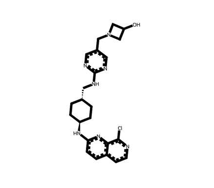 OC1CN(Cc2cnc(NC[C@H]3CC[C@H](Nc4ccc5ccnc(Cl)c5n4)CC3)nc2)C1